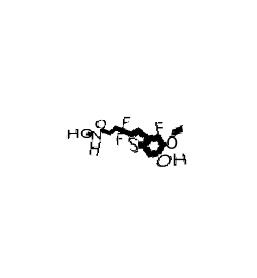 CCOc1c(O)cc2sc(C(F)(F)CCC(=O)NO)cc2c1F